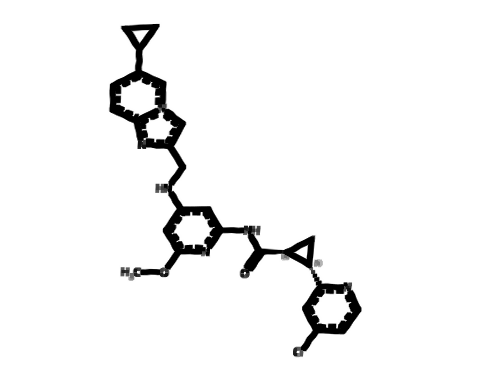 COc1cc(NCc2cn3cc(C4CC4)ccc3n2)cc(NC(=O)[C@H]2C[C@@H]2c2cc(Cl)ccn2)n1